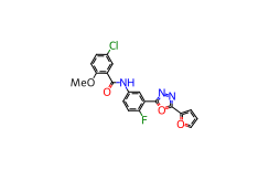 COc1ccc(Cl)cc1C(=O)Nc1ccc(F)c(-c2nnc(-c3ccco3)o2)c1